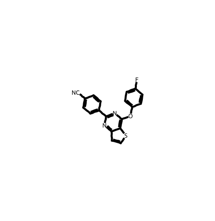 N#Cc1ccc(-c2nc(Oc3ccc(F)cc3)c3sccc3n2)cc1